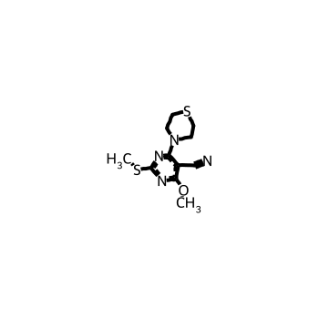 COc1nc(SC)nc(N2CCSCC2)c1C#N